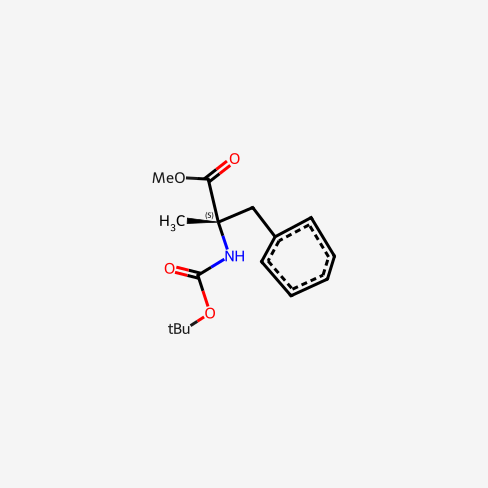 COC(=O)[C@](C)(Cc1ccccc1)NC(=O)OC(C)(C)C